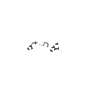 Nc1nc(Cl)nc2c1ncn2[C@@H]1O[C@H](COC(Cc2cncs2)(C(=O)O)C(=O)O)[C@@H](O)[C@@H]1F